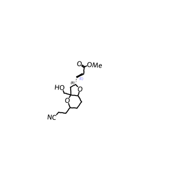 COC(=O)/C=C/[C@H]1CC2(CO)OC(CCC#N)CCC2O1